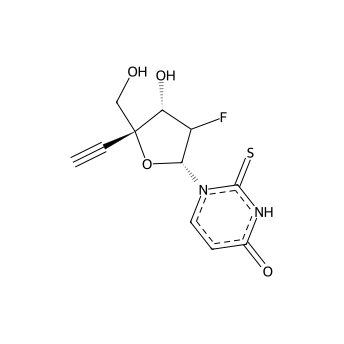 C#C[C@]1(CO)O[C@@H](n2ccc(=O)[nH]c2=S)C(F)[C@H]1O